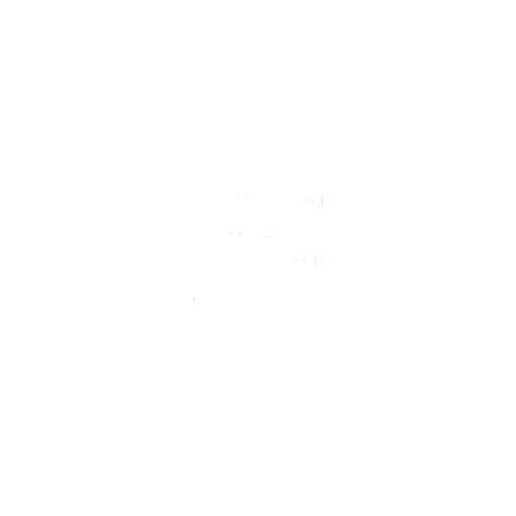 OCC1OC(OCCc2ccc(O)cc2)C(O)C(O)C1O